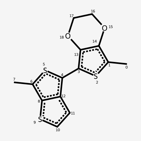 Cc1sc(-c2sc(C)c3sccc23)c2c1OCCO2